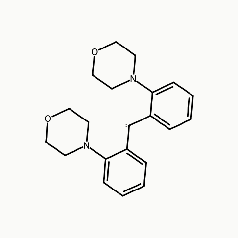 [C](c1ccccc1N1CCOCC1)c1ccccc1N1CCOCC1